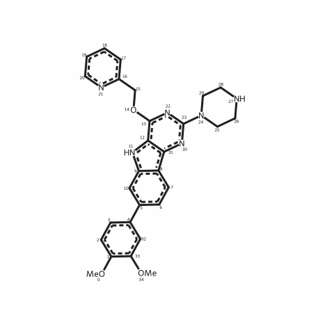 COc1ccc(-c2ccc3c(c2)[nH]c2c(OCc4ccccn4)nc(N4CCNCC4)nc23)cc1OC